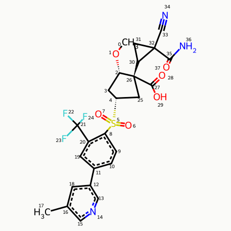 CO[C@H]1C[C@@H](S(=O)(=O)c2ccc(-c3cncc(C)c3)cc2C(F)(F)F)C[C@]1(C(=O)O)C1CC1(C#N)C(N)=O